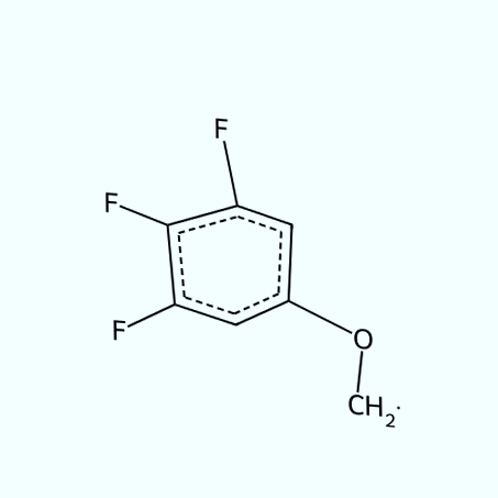 [CH2]Oc1cc(F)c(F)c(F)c1